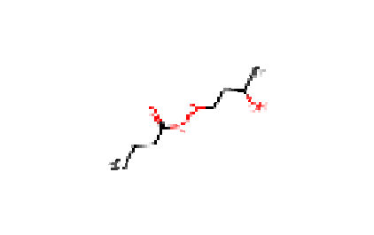 CC(C)C(O)CCOOC(=O)CCC(C)(C)C